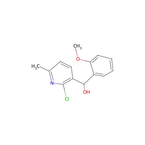 COc1ccccc1C(O)c1ccc(C)nc1Cl